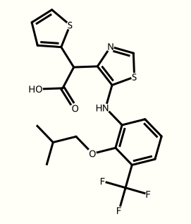 CC(C)COc1c(Nc2scnc2C(C(=O)O)c2cccs2)cccc1C(F)(F)F